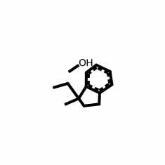 CCC1(C)CCc2ccccc21.CO